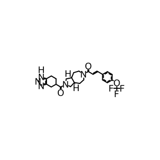 O=C(/C=C/c1ccc(OC(F)(F)F)cc1)N1CC[C@@H]2CN(C(=O)C3CCc4[nH]nnc4C3)C[C@@H]2CC1